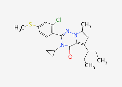 CCC(CC)c1cc(C)n2nc(-c3ccc(SC)cc3Cl)n(C3CC3)c(=O)c12